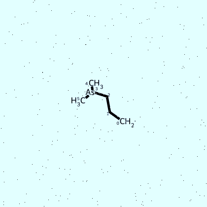 [CH2]CC[As](C)C